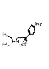 COc1ccc(C(=O)CNC(C)CC(C)C)cc1.Cl